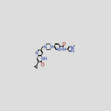 Cn1cc(NC(=O)c2ccc(N3CCN(Cc4cnc5cc(C6CC6)c(=O)[nH]c5c4)CC3)cn2)cn1